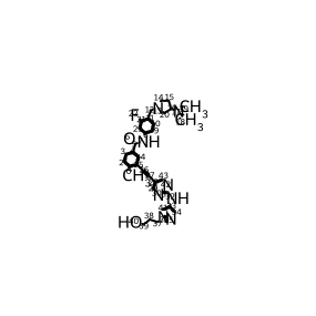 Cc1ccc(C(=O)Nc2ccc(CN3CCC(N(C)C)C3)c(F)c2)cc1C#Cc1cnc(Nc2cnn(CCCO)c2)nc1